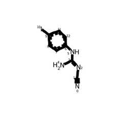 N#C/N=C(\N)Nc1ccc(I)cc1